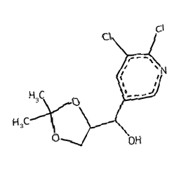 CC1(C)OCC(C(O)c2cnc(Cl)c(Cl)c2)O1